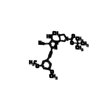 CNc1c(C#N)c(C#Cc2cc(OC)cc(OC)c2)nn1[C@H]1CCN(C(=O)OC(C)(C)C)C1